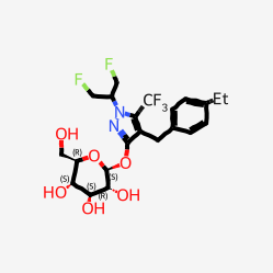 CCc1ccc(Cc2c(O[C@@H]3O[C@H](CO)[C@@H](O)[C@H](O)[C@H]3O)nn(C(CF)CF)c2C(F)(F)F)cc1